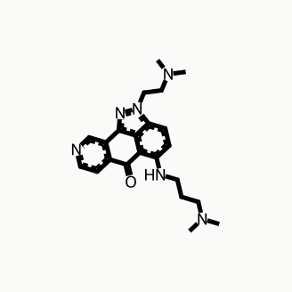 CN(C)CCCNc1ccc2c3c(nn2CCN(C)C)-c2cnccc2C(=O)c13